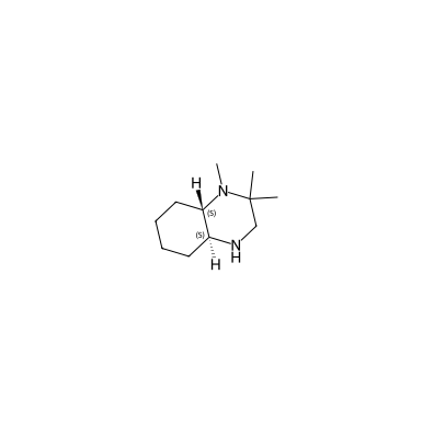 CN1[C@H]2CCCC[C@@H]2NCC1(C)C